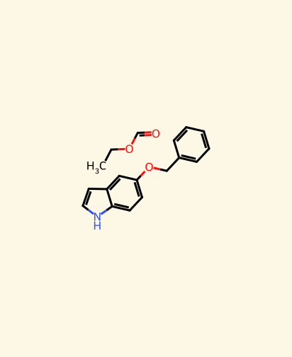 CCOC=O.c1ccc(COc2ccc3[nH]ccc3c2)cc1